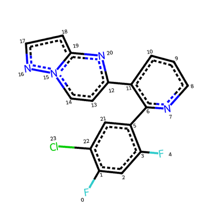 Fc1cc(F)c(-c2ncccc2-c2ccn3nccc3n2)cc1Cl